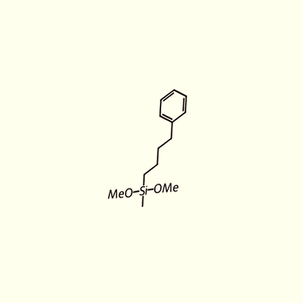 CO[Si](C)(CCCCc1ccccc1)OC